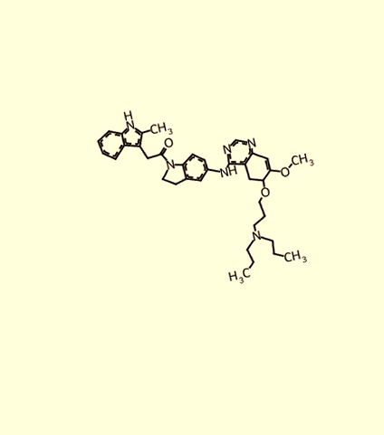 CCCN(CCC)CCCOC1Cc2c(ncnc2Nc2ccc3c(c2)CCN3C(=O)Cc2c(C)[nH]c3ccccc23)C=C1OC